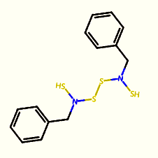 SN(Cc1ccccc1)SSN(S)Cc1ccccc1